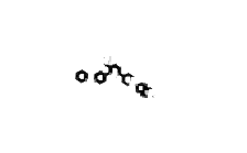 NC(=O)c1ccc(C2CCN(C3C[C@@H]4CN(C(=O)O)C[C@@H]4C3)CC2)nc1-c1ccc(Oc2ccccc2)cc1